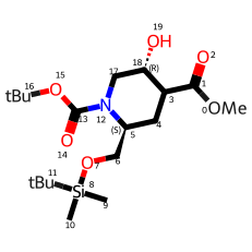 COC(=O)C1C[C@@H](CO[Si](C)(C)C(C)(C)C)N(C(=O)OC(C)(C)C)C[C@@H]1O